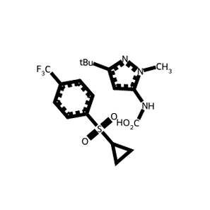 Cn1nc(C(C)(C)C)cc1NC(=O)O.O=S(=O)(c1ccc(C(F)(F)F)cc1)C1CC1